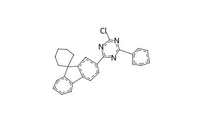 Clc1nc(-c2ccccc2)nc(-c2ccc3c(c2)C2(CCCCC2)c2ccccc2-3)n1